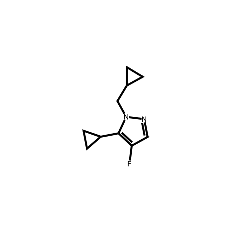 Fc1[c]nn(CC2CC2)c1C1CC1